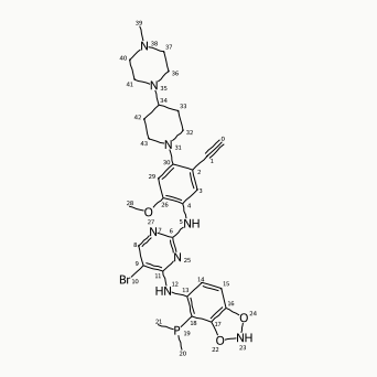 C#Cc1cc(Nc2ncc(Br)c(Nc3ccc4c(c3P(C)C)ONO4)n2)c(OC)cc1N1CCC(N2CCN(C)CC2)CC1